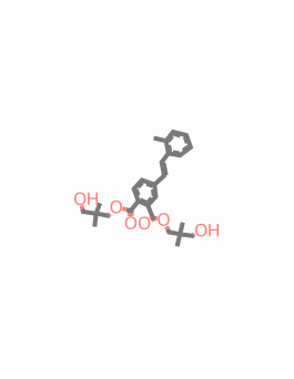 Cc1ccccc1/C=C/c1ccc(C(=O)OCC(C)(C)CO)c(C(=O)OCC(C)(C)CO)c1